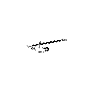 CCCCCCCCCCCCCCCCCCCCCC(=O)NCCCN(C)C.O=C(O)N1CCCC1=O